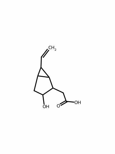 C=CC1C2CC(O)C(CC(=O)O)C12